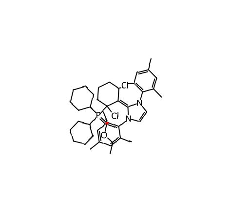 CCOC=P(C1CCCCC1)(C1CCCCC1)C1(Cl)CCCC(Cl)C1=C1N(c2c(C)cc(C)cc2C)C=CN1c1c(C)cc(C)cc1C